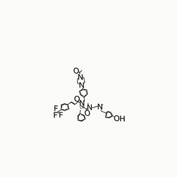 CC(=O)N1CCN(c2ccc(CN(C(=O)C=Cc3ccc(C(F)(F)F)cc3)[C@@H](Cc3ccccc3)C(=O)N(C)CCN(C)Cc3ccc(O)cc3)cc2)CC1